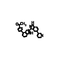 CC(=O)c1ccc(-c2cccc3c2CN(c2n[nH]c4ccc(-c5cccnc5)cc24)N3)s1